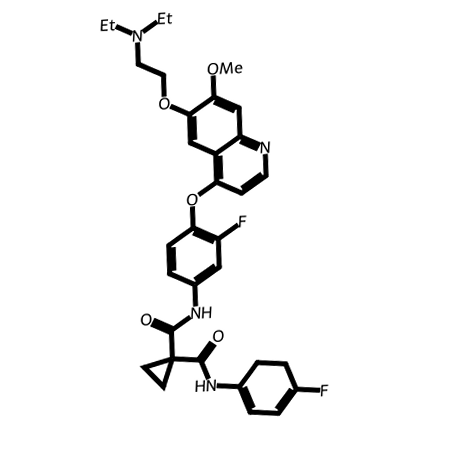 CCN(CC)CCOc1cc2c(Oc3ccc(NC(=O)C4(C(=O)NC5=CC=C(F)CC5)CC4)cc3F)ccnc2cc1OC